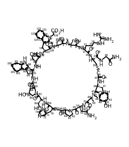 CCCC[C@H]1C(=O)N(C)[C@@H](CCCC)C(=O)N[C@@H](CCCNC(=N)N)C(=O)N[C@H](C(=O)NCC(N)=O)CSCC(=O)N[C@@H](Cc2ccc(O)cc2)C(=O)N(C)[C@@H](C)C(=O)N[C@@H](CC(N)=O)C(=O)N2CCC[C@H]2C(=O)N[C@@H](Cc2cnc[nH]2)C(=O)N[C@@H](CO)C(=O)N2C[C@H](O)C[C@H]2C(=O)N[C@@H](Cc2c[nH]c3ccccc23)C(=O)N[C@@H](CO)C(=O)N[C@@H](Cc2cn(CC(=O)O)c3ccccc23)C(=O)N1C